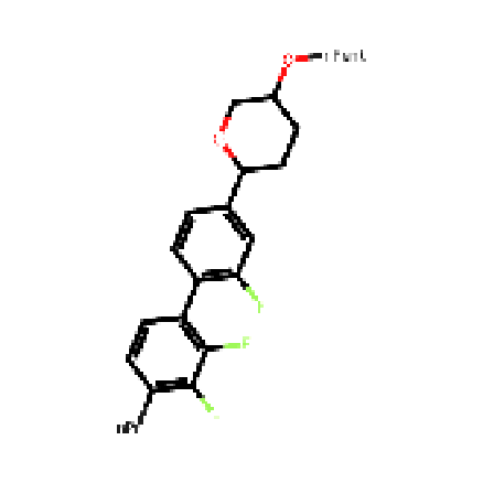 CCCCCOC1CCC(c2ccc(-c3ccc(CCC)c(F)c3F)c(F)c2)OC1